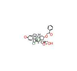 C[C@]12C[C@H](Cl)C3(Cl)[C@@H](CCC4=CC(=O)C=C[C@@]43C)[C@@H]1C[C@@H](OCC(=O)c1ccccc1)[C@@H]2C(=O)CO